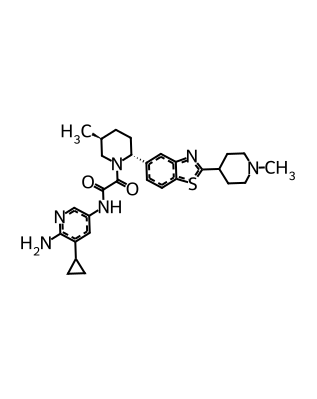 C[C@H]1CC[C@H](c2ccc3sc(C4CCN(C)CC4)nc3c2)N(C(=O)C(=O)Nc2cnc(N)c(C3CC3)c2)C1